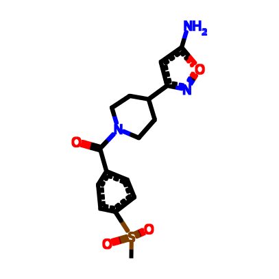 CS(=O)(=O)c1ccc(C(=O)N2CCC(c3cc(N)on3)CC2)cc1